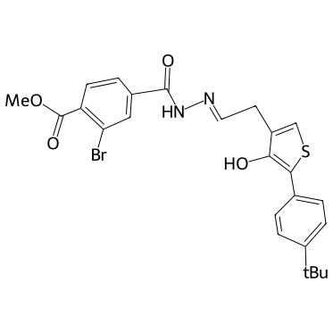 COC(=O)c1ccc(C(=O)NN=CCc2csc(-c3ccc(C(C)(C)C)cc3)c2O)cc1Br